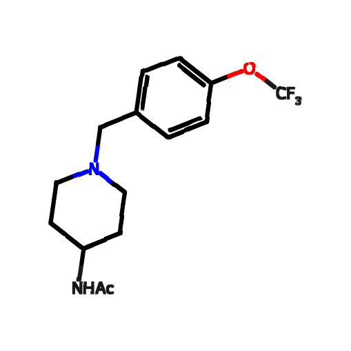 CC(=O)NC1CCN(Cc2ccc(OC(F)(F)F)cc2)CC1